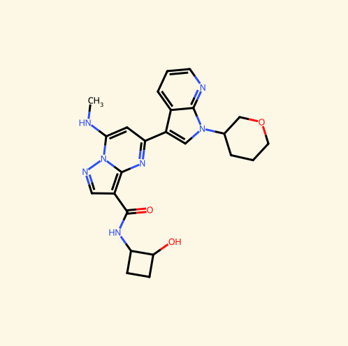 CNc1cc(-c2cn(C3CCCOC3)c3ncccc23)nc2c(C(=O)NC3CCC3O)cnn12